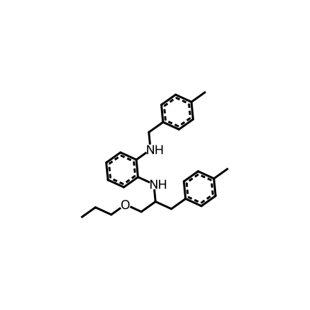 CCCOCC(Cc1ccc(C)cc1)Nc1ccccc1NCc1ccc(C)cc1